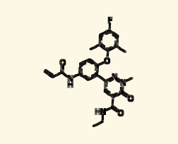 C=CC(=O)Nc1ccc(Oc2c(C)cc(F)cc2C)c(-c2cc(C(=O)NCC)c(=O)n(C)n2)c1